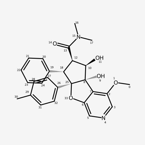 COc1cncc2c1[C@]1(O)[C@H](O)[C@H](C(=O)N(C)C)[C@@H](c3ccccc3)[C@]1(c1ccc(C)cc1)O2